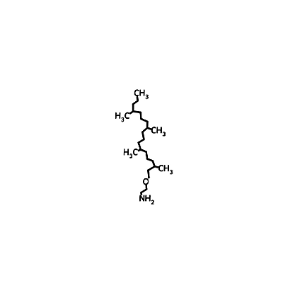 CCCC(C)CCCC(C)CCCC(C)CCCC(C)CCOCCN